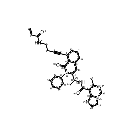 C=CC(=O)NCCC#Cc1cccc2cc([C@H](C)NC(=O)c3c(C)ncn4ccnc34)n(-c3ccccc3)c(=O)c12